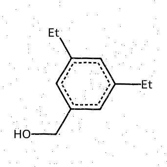 CCc1cc([CH]O)cc(CC)c1